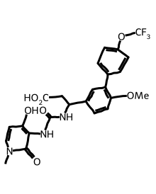 COc1ccc(C(CC(=O)O)NC(=O)Nc2c(O)ccn(C)c2=O)cc1-c1ccc(OC(F)(F)F)cc1